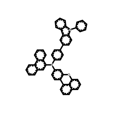 c1ccc(-n2c3ccccc3c3cc(-c4ccc(N(c5ccc6c(c5)Oc5cccc7cccc-6c57)c5cc6ccccc6c6ccccc56)cc4)ccc32)cc1